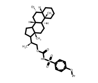 CC[C@H]1C[C@H]2C3CCC([C@H](C)COC(=O)NS(=O)(=O)c4ccc(OC(C)C)cc4)[C@@]3(C)CC[C@@H]2[C@@]2(C)CCCC[C@@H]12